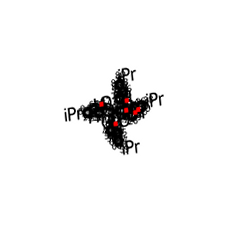 CC(C)C1CC[C@H]2C(CC[C@@H]3[C@]2(C)CCC[C@@]3(C)C(=O)OCC(COC(=O)[C@]2(C)CCC[C@@]3(C)[C@H]2CCC2CC(C(C)C)CC[C@@H]23)(COC(=O)[C@]2(C)CCC[C@@]3(C)[C@H]2CCC2CC(C(C)C)CC[C@@H]23)COC(=O)[C@]2(C)CCC[C@@]3(C)[C@H]2CCC2CC(C(C)C)CC[C@@H]23)C1